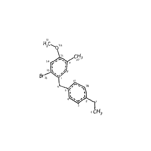 CCc1ccc(Cc2cc(C)c(OC)cc2Br)cc1